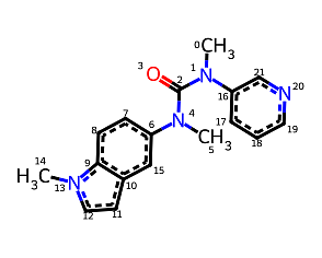 CN(C(=O)N(C)c1ccc2c(ccn2C)c1)c1cccnc1